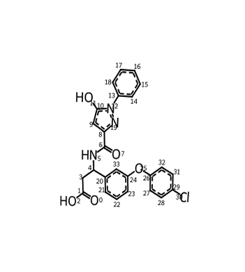 O=C(O)CC(NC(=O)c1cc(O)n(-c2ccccc2)n1)c1cccc(Oc2ccc(Cl)cc2)c1